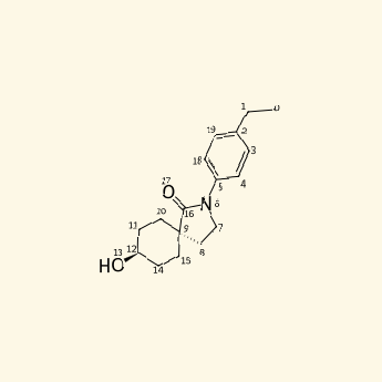 CCc1ccc(N2CC[C@]3(CC[C@H](O)CC3)C2=O)cc1